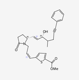 COC(=O)c1ccc(/C=C\CN2C(=O)CC[C@@H]2/C=C/[C@H](O)C(C)CC#Cc2ccccc2)s1